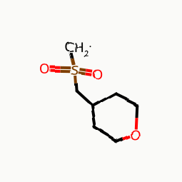 [CH2]S(=O)(=O)CC1CCOCC1